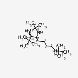 CC(C)(C)NCCCC[C@H](NC(C)(C)C)C(=O)C(C)(C)C